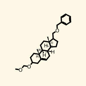 COCOC1CC[C@@]2(C)C(=CC[C@@H]3[C@H]2CC[C@]2(C)C(COCc4ccccc4)CC[C@@H]32)C1